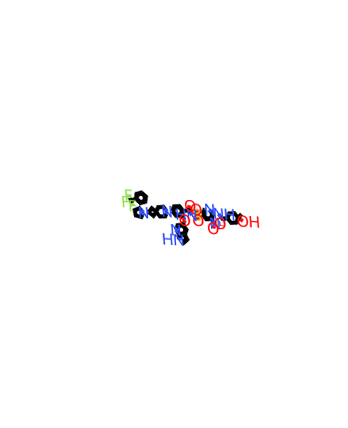 CC1(O)CCC(CNc2ncc(S(=O)(=O)NC(=O)c3ccc(N4CCC5(CC4)CC(N4CCC[C@@H]4c4ccccc4C(F)(F)F)C5)cc3Oc3cnc4[nH]ccc4c3)cc2[N+](=O)[O-])CC1